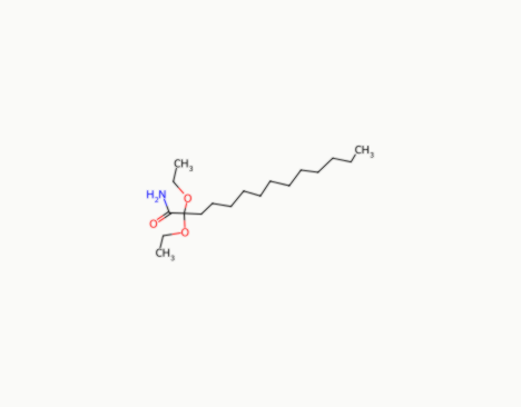 CCCCCCCCCCCCC(OCC)(OCC)C(N)=O